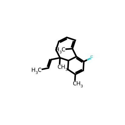 CC=CC1(C)C/C=C\C=C(/C)C2=C(F)C=C(C)CC21